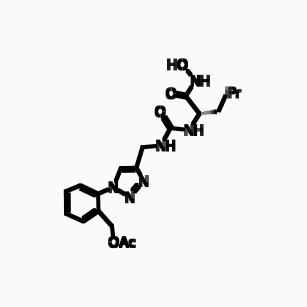 CC(=O)OCc1ccccc1-n1cc(CNC(=O)N[C@@H](CC(C)C)C(=O)NO)nn1